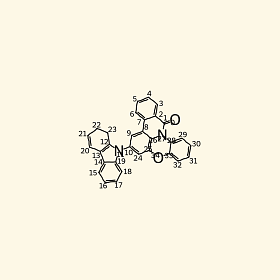 O=c1c2ccccc2c2cc(-n3c4c(c5ccccc53)C=CCC4)cc3c2n1-c1ccccc1O3